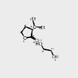 CCOCC.O=C1CCCO1.OCCO